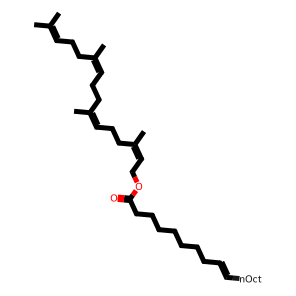 CCCCCCCCC=CCCCCCCCC(=O)OCC=C(C)CCC=C(C)CCC=C(C)CCC=C(C)C